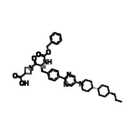 CCC[C@H]1CC[C@H](C2CCN(c3cnc(-c4ccc(C[C@H](NC(=O)OCc5ccccc5)C(=O)N5CC(C(=O)O)C5)cc4)nc3)CC2)CC1